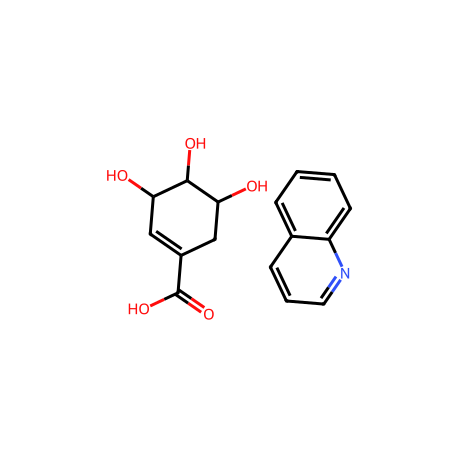 O=C(O)C1=CC(O)C(O)C(O)C1.c1ccc2ncccc2c1